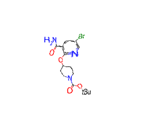 CC(C)(C)OC(=O)N1CCC(Oc2ncc(Br)cc2C(N)=O)CC1